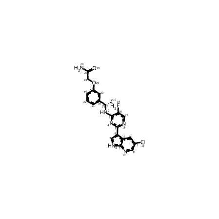 C[C@H](Nc1nc(-c2c[nH]c3ncc(Cl)cc23)ncc1F)c1cccc(OCC(N)=O)c1